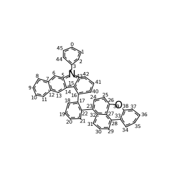 c1ccc(-n2c3cc4ccccc4cc3c3c(-c4ccccc4-c4ccc5c6c(cccc46)-c4ccccc4O5)cccc32)cc1